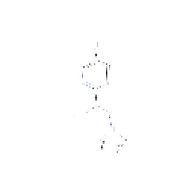 O=CC(Cn1cccc1)c1ccc(C(F)(F)F)cn1